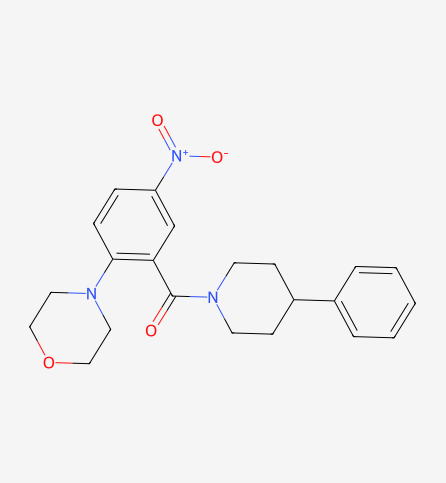 O=C(c1cc([N+](=O)[O-])ccc1N1CCOCC1)N1CCC(c2ccccc2)CC1